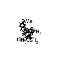 COc1ccc(CN2CCC(C(OS(C)(=O)=O)[C@H]3COC(C)(C)N3C(=O)OC(C)(C)C)S2(=O)=O)cc1